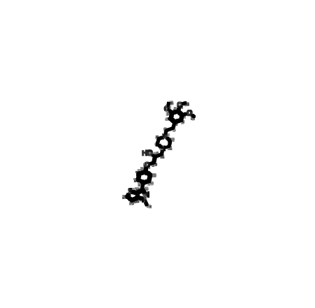 COc1cc(CCN2CCN(CC(O)COc3ccc(-c4nn(C)c5ccsc45)cc3)CC2)cc(OC)c1OC